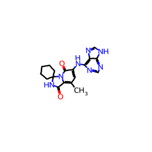 Cc1cc(Nc2ncnc3[nH]cnc23)c(=O)n2c1C(=O)NC21CCCCC1